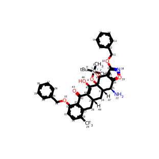 CC(C)(C)[Si](C)(C)OC12C(=O)c3c(OCc4ccccc4)noc3[C@@H](N)[C@@H]1C[C@@H]1Cc3c(C(F)(F)F)ccc(OCc4ccccc4)c3C(=O)C1=C2O